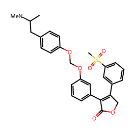 CNC(C)Cc1ccc(OCOc2cccc(C3=C(c4cccc(S(C)(=O)=O)c4)COC3=O)c2)cc1